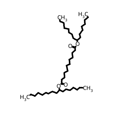 CCCCCCCCCC(CCCCCCC)OC(=O)CCCCCCCCCCC(=O)OC(CCCCCCCC)CCCCCCCC